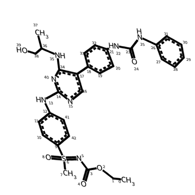 CCOC(=O)N=S(C)(=O)c1ccc(Nc2ncc(-c3ccc(NC(=O)Nc4ccccc4)cc3)c(NC(C)CO)n2)cc1